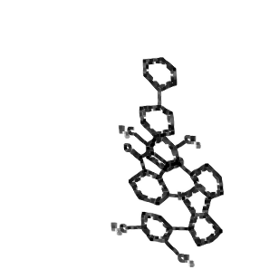 O=C1c2cccc(-n3c4c(-c5ccc(C(F)(F)F)cc5C(F)(F)F)cccc4c4cccc(-c5ccc(C(F)(F)F)cc5C(F)(F)F)c43)c2C(=O)N1c1ccc(-c2ccccc2)cc1